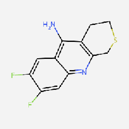 Nc1c2c(nc3cc(F)c(F)cc13)CSCC2